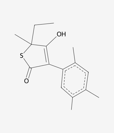 CCC1(C)SC(=O)C(c2cc(C)c(C)cc2C)=C1O